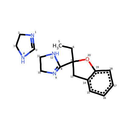 C1=NCCN1.CCC1(C2=NCCN2)Cc2ccccc2O1